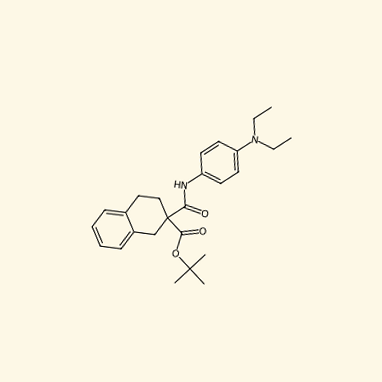 CCN(CC)c1ccc(NC(=O)C2(C(=O)OC(C)(C)C)CCc3ccccc3C2)cc1